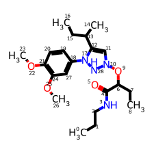 CCCNC(=O)C(CC)ON1C=C(C(C)CC)N(c2ccc(OC)c(OC)c2)N1